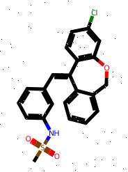 CS(=O)(=O)Nc1cccc(/C=C2\c3ccccc3COc3cc(Cl)ccc32)c1